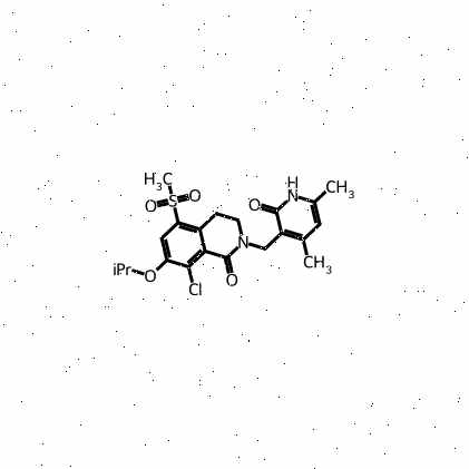 Cc1cc(C)c(CN2CCc3c(S(C)(=O)=O)cc(OC(C)C)c(Cl)c3C2=O)c(=O)[nH]1